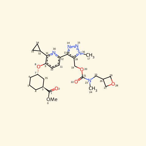 COC(=O)[C@H]1CCC[C@H](Oc2ccc(-c3nnn(C)c3COC(=O)N(C)CC3COC3)nc2C2CC2)C1